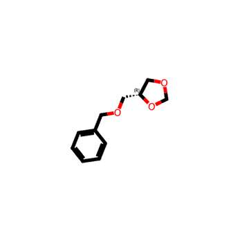 c1ccc(COC[C@@H]2COCO2)cc1